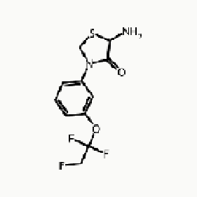 NC1SCN(c2cccc(OC(F)(F)CF)c2)C1=O